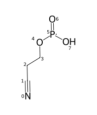 N#CCCO[P](=O)O